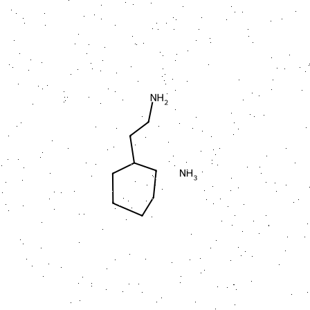 N.NCCC1CCCCC1